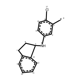 Fc1cc(NC2CCc3ccccc32)ccc1Cl